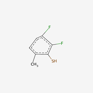 Cc1ccc(F)c(F)c1S